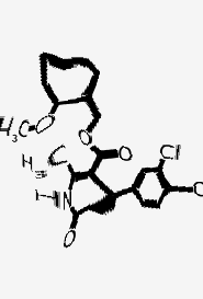 COc1ccccc1COC(=O)C1=C(C)NC(=O)CC1c1ccc(Cl)c(Cl)c1